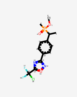 CCOP(C)(=O)C(C)c1ccc(-c2noc(C(F)(F)Cl)n2)cc1